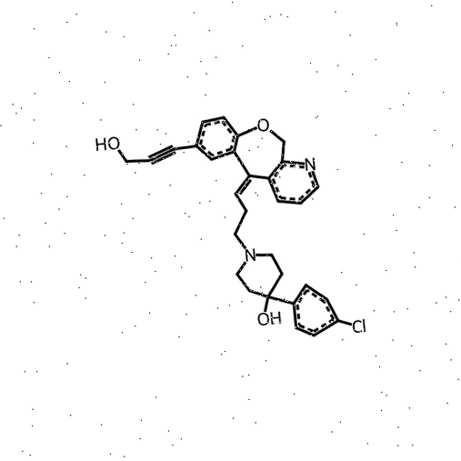 OCC#Cc1ccc2c(c1)/C(=C/CCN1CCC(O)(c3ccc(Cl)cc3)CC1)c1cccnc1CO2